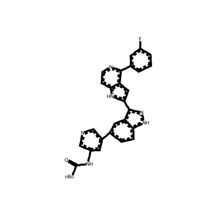 CCCCC(=O)Nc1cncc(-c2ccc3[nH]nc(-c4cc5c(-c6cccc(F)c6)nccc5[nH]4)c3c2)c1